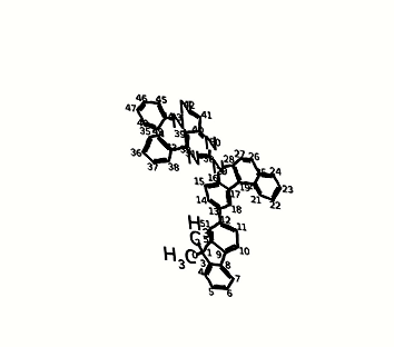 CC1(C)c2ccccc2-c2ccc(-c3ccc4c(c3)c3c5ccccc5ccc3n4-c3nc(-c4ccccc4)c4c(cnn4-c4ccccc4)n3)cc21